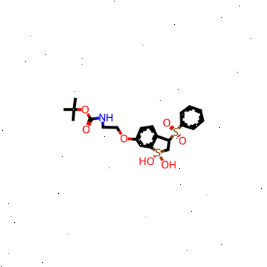 CC(C)(C)OC(=O)NCCOc1ccc2c(c1)S(O)(O)CC2S(=O)(=O)c1ccccc1